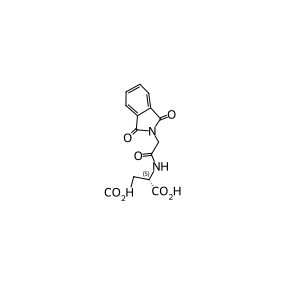 O=C(O)C[C@H](NC(=O)CN1C(=O)c2ccccc2C1=O)C(=O)O